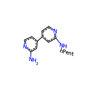 CCCCCNc1cc(-c2ccnc(N)c2)ccn1